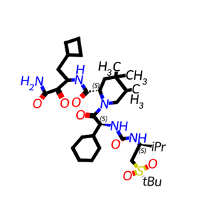 CC(C)[C@@H](CS(=O)(=O)C(C)(C)C)NC(=O)N[C@H](C(=O)N1CC(C)C(C)(C)C[C@H]1C(=O)NC(CC1CCC1)C(=O)C(N)=O)C1CCCCC1